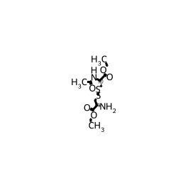 CCOC(=O)[C@H](CSSC[C@H](N)C(=O)OCC)NC(C)=O